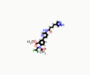 COC(=O)c1cc(-c2ccc(NC(=O)CCCc3cn[nH]c3)cn2)ccc1N(CC(F)F)C(C)=O